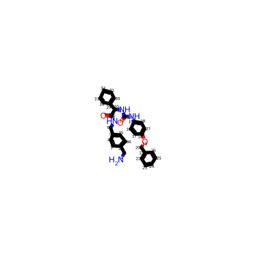 NCc1ccc(CNC(=O)C(NC(=O)Nc2ccc(OCc3ccccc3)cc2)c2ccccc2)cc1